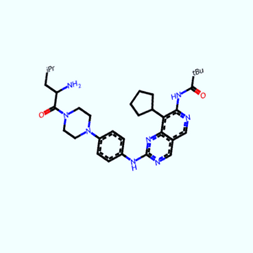 CC(C)CC(N)C(=O)N1CCN(c2ccc(Nc3ncc4cnc(NC(=O)C(C)(C)C)c(C5CCCC5)c4n3)cc2)CC1